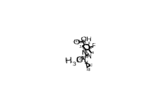 CN(c1ncc2c(F)cc(C(=O)O)cc2n1)C1CC1